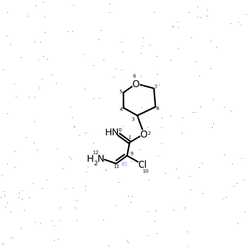 N=C(OC1CCOCC1)/C(Cl)=C\N